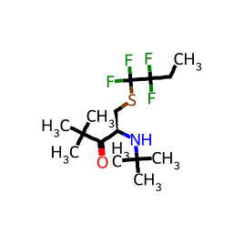 CCC(F)(F)C(F)(F)SC[C@@H](NC(C)(C)C)C(=O)C(C)(C)C